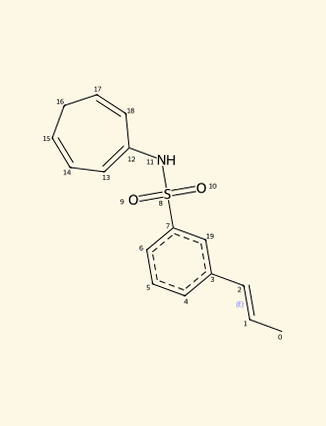 C/C=C/c1cccc(S(=O)(=O)NC2=CC=CCC=C2)c1